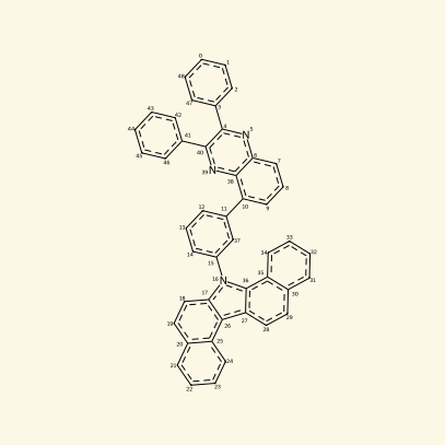 c1ccc(-c2nc3cccc(-c4cccc(-n5c6ccc7ccccc7c6c6ccc7ccccc7c65)c4)c3nc2-c2ccccc2)cc1